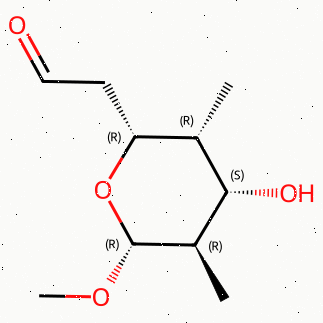 CO[C@@H]1O[C@H](CC=O)[C@H](C)[C@H](O)[C@H]1C